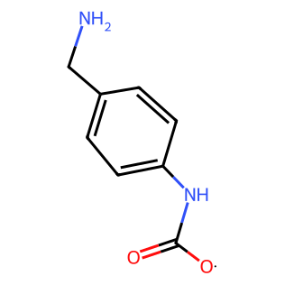 NCc1ccc(NC([O])=O)cc1